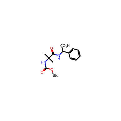 CC(C)(C)OC(=O)NC(C)(C)C(=O)NC(C(=O)O)c1ccccc1